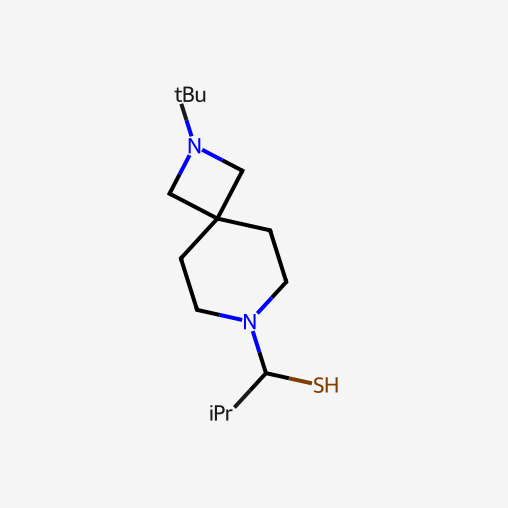 CC(C)C(S)N1CCC2(CC1)CN(C(C)(C)C)C2